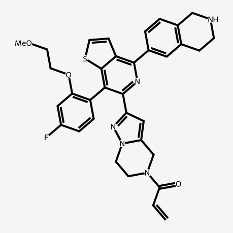 C=CC(=O)N1CCn2nc(-c3nc(-c4ccc5c(c4)CCNC5)c4ccsc4c3-c3ccc(F)cc3OCCOC)cc2C1